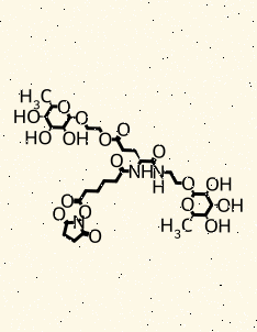 C[C@@H]1O[C@@H](OCCNC(=O)[C@H](CCC(=O)OCCO[C@@H]2O[C@@H](C)[C@@H](O)[C@@H](O)[C@@H]2O)NC(=O)CCCCC(=O)ON2C(=O)CCC2=O)[C@@H](O)[C@H](O)[C@@H]1O